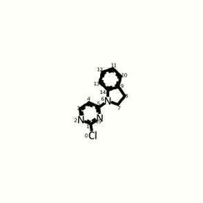 Clc1nccc(N2CCc3ccccc32)n1